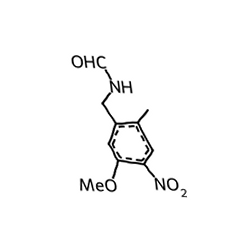 COc1cc(CNC=O)c(C)cc1[N+](=O)[O-]